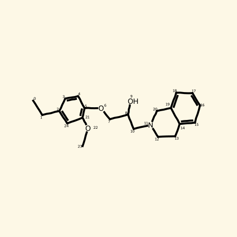 CCc1ccc(OCC(O)CN2CCc3ccccc3C2)c(OC)c1